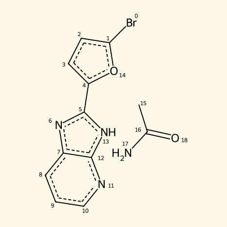 Brc1ccc(-c2nc3cccnc3[nH]2)o1.CC(N)=O